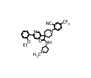 CCOc1ccccc1-c1ccc(C2(C(=O)N[C@H]3CCN(C)C3)CCN(c3ccc(C(F)(F)F)cc3C#N)CC2)cn1